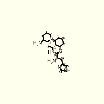 NC1CCCN(C2CCCCC2)[C@@H]1CCNC(=O)[C@@H](N)Cc1c[nH]cn1